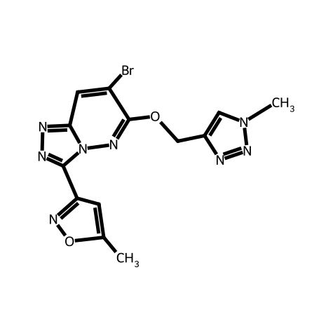 Cc1cc(-c2nnc3cc(Br)c(OCc4cn(C)nn4)nn23)no1